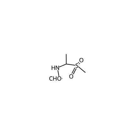 CC(N[C]=O)S(C)(=O)=O